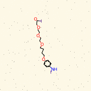 O=C(I)COCCOCCOCCCCOc1ccc(NI)cc1